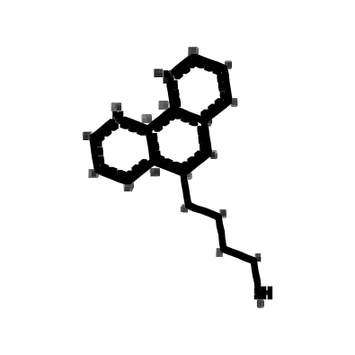 SCCCCc1cc2cccnc2c2ncccc12